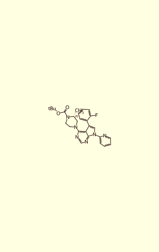 C[C@@H]1CN(c2ncnc3c2c(-c2ccccc2F)cn3-c2ccccn2)CCN1C(=O)OC(C)(C)C